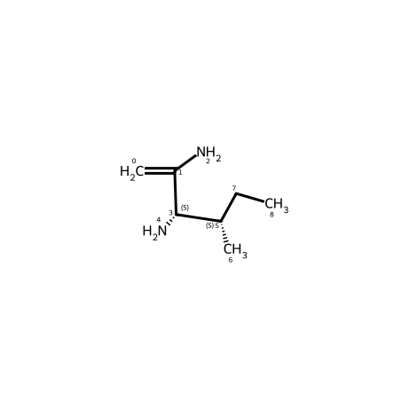 C=C(N)[C@@H](N)[C@@H](C)CC